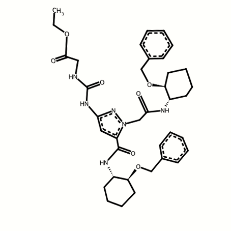 CCOC(=O)CNC(=O)Nc1cc(C(=O)N[C@H]2CCCC[C@@H]2OCc2ccccc2)n(CC(=O)N[C@H]2CCCC[C@@H]2OCc2ccccc2)n1